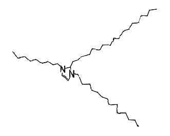 CCCCCCCCCCCCCCCCCCC1N(CCCCCCCCC)C=CN1CCCCCCCCCCCCCC